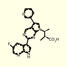 C[C@H](C(=O)O)[C@H](C)n1cc(-c2cccnc2)c2cnc(-c3c[nH]c4ncc(F)cc34)nc21